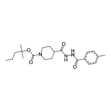 CCCC(C)(C)OC(=O)N1CCC(C(=O)NNC(=O)c2ccc(C)cc2)CC1